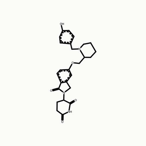 O=C1CCC(N2Cc3cc(OCC4CCCCN4Cc4ccc(O)cc4)ccc3C2=O)C(=O)N1